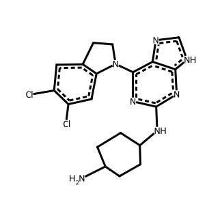 NC1CCC(Nc2nc(N3CCc4cc(Cl)c(Cl)cc43)c3nc[nH]c3n2)CC1